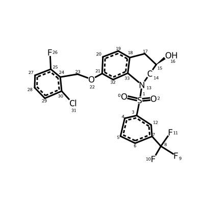 O=S(=O)(c1cccc(C(F)(F)F)c1)N1C[C@H](O)Cc2ccc(OCc3c(F)cccc3Cl)cc21